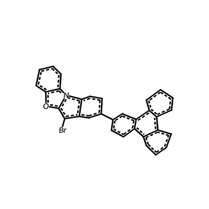 Brc1c2cc(-c3ccc4c5ccccc5c5ccccc5c4c3)ccc2n2c1oc1ccccc12